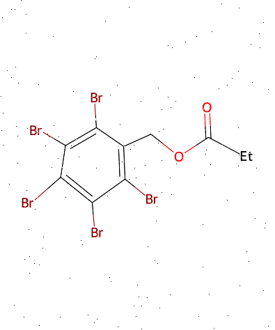 CCC(=O)OCc1c(Br)c(Br)c(Br)c(Br)c1Br